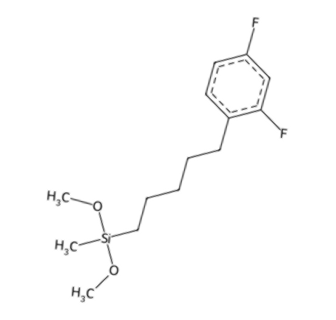 CO[Si](C)(CCCCCc1ccc(F)cc1F)OC